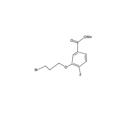 COC(=O)c1ccc(F)c(OCCCBr)c1